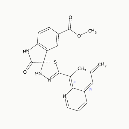 C=C/C=c1/cccn/c1=C(/C)C1=NNC2(S1)C(=O)Nc1ccc(C(=O)OC)cc12